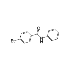 CCc1ccc(C(=O)Nc2ccccc2)cc1